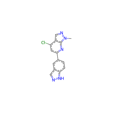 Cn1ncc2c(Cl)cc(-c3ccc4[nH]ncc4c3)nc21